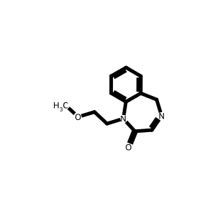 COCCN1C(=O)C=NCc2ccccc21